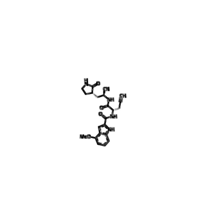 C#CC[C@H](NC(=O)c1cc2c(OC)cccc2[nH]1)C(=O)N[C@H](C#N)C[C@@H]1CCNC1=O